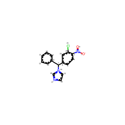 O=[N+]([O-])c1ccc(C(c2ccccc2)n2ccnc2)cc1Cl